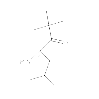 CC(C)C[C@@](C)(N)C(=O)C(C)(C)C